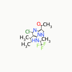 CCC(C)c1c(Cl)nc2c(C(C)=O)cnn2c1NC(C)C(F)(F)F